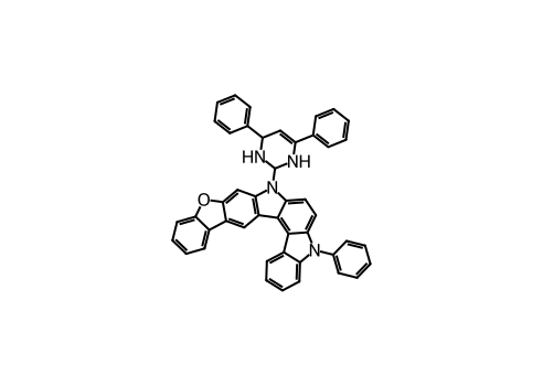 C1=C(c2ccccc2)NC(n2c3cc4oc5ccccc5c4cc3c3c4c5ccccc5n(-c5ccccc5)c4ccc32)NC1c1ccccc1